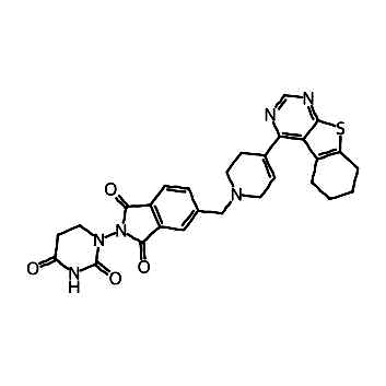 O=C1CCN(N2C(=O)c3ccc(CN4CC=C(c5ncnc6sc7c(c56)CCCC7)CC4)cc3C2=O)C(=O)N1